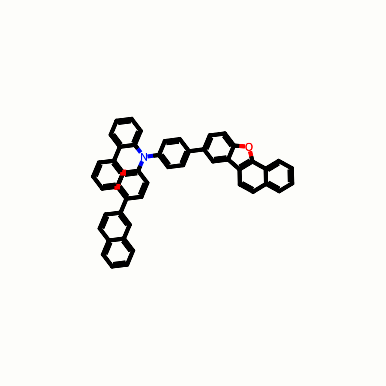 c1ccc(-c2ccccc2N(c2ccc(-c3ccc4ccccc4c3)cc2)c2ccc(-c3ccc4oc5c6ccccc6ccc5c4c3)cc2)cc1